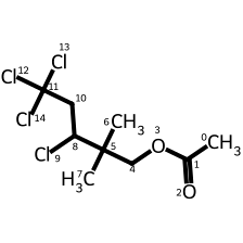 CC(=O)OCC(C)(C)C(Cl)CC(Cl)(Cl)Cl